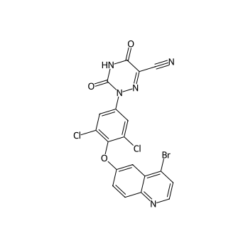 N#Cc1nn(-c2cc(Cl)c(Oc3ccc4nccc(Br)c4c3)c(Cl)c2)c(=O)[nH]c1=O